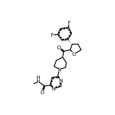 CNC(=O)c1cc(N2CCC(C(=O)C3OCC[C@H]3c3cc(F)cc(F)c3)CC2)ncn1